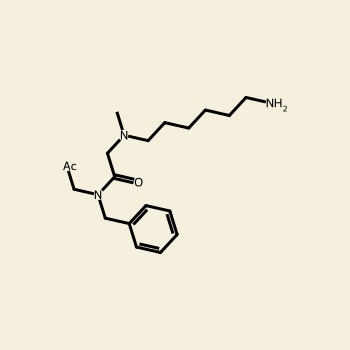 CC(=O)CN(Cc1ccccc1)C(=O)CN(C)CCCCCCN